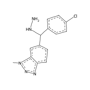 Cn1nnc2ccc(C(NN)c3ccc(Cl)cc3)cc21